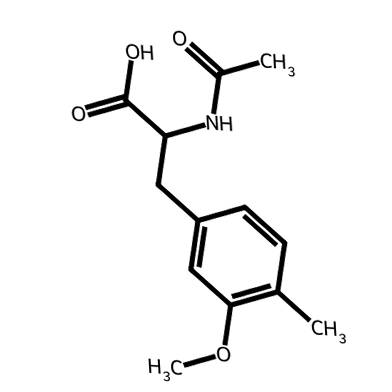 COc1cc(CC(NC(C)=O)C(=O)O)ccc1C